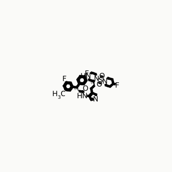 Cc1cc(F)cc([C@@H](CC(=O)NC2=C(CC[C@H]3CNCCN3S(=O)(=O)N3CCC(F)CC3)CN=C2)c2ccc(F)cc2)c1